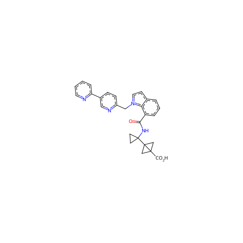 O=C(NC1(C23CC2(C(=O)O)C3)CC1)c1cccc2ccn(Cc3ccc(-c4ccccn4)cn3)c12